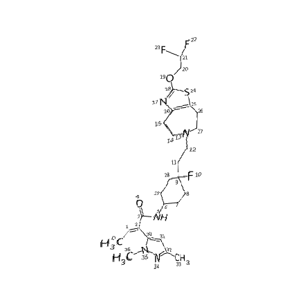 C/C=C(/C(=O)NC1CCC(F)(CCN2CCc3nc(OCC(F)F)sc3CC2)CC1)c1cc(C)nn1C